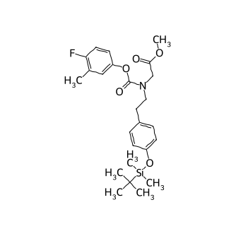 COC(=O)CN(CCc1ccc(O[Si](C)(C)C(C)(C)C)cc1)C(=O)Oc1ccc(F)c(C)c1